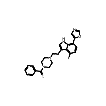 O=C(c1ccccc1)N1CCN(CCc2c[nH]c3c(-c4cnco4)ccc(F)c23)CC1